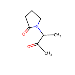 CC(=O)C(C)N1CCCC1=O